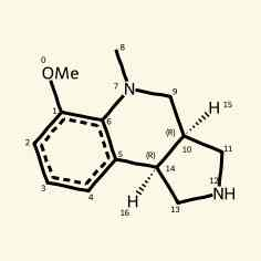 COc1cccc2c1N(C)C[C@H]1CNC[C@@H]21